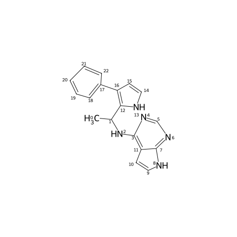 CC(Nc1ncnc2[nH]ccc12)c1[nH]ccc1-c1ccccc1